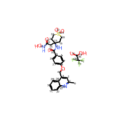 Cc1cc(COc2ccc(C(=O)NC3(CC(=O)NO)CCS(=O)(=O)CC3)cc2)c2ccccc2n1.O=C(O)C(F)(F)F